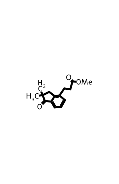 COC(=O)CCc1cccc2c1CC(C)(C)C2=O